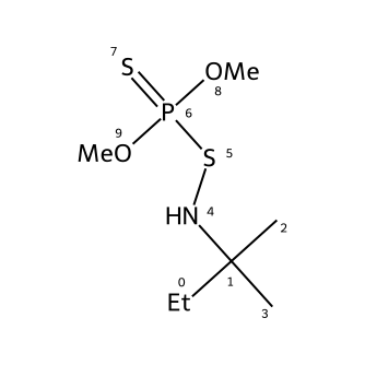 CCC(C)(C)NSP(=S)(OC)OC